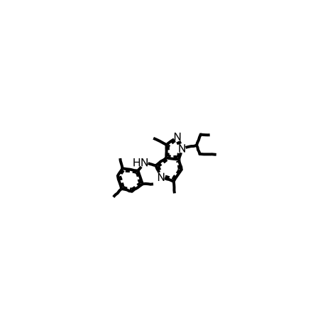 CCC(CC)n1nc(C)c2c(Nc3c(C)cc(C)cc3C)nc(C)cc21